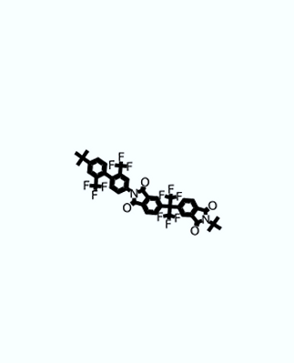 CC(C)(C)c1ccc(-c2ccc(N3C(=O)c4ccc(C(c5ccc6c(c5)C(=O)N(C(C)(C)C)C6=O)(C(F)(F)F)C(F)(F)F)cc4C3=O)cc2C(F)(F)F)c(C(F)(F)F)c1